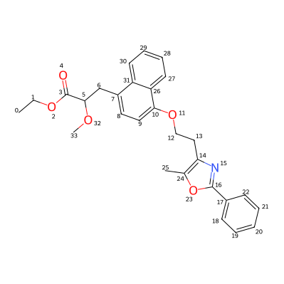 CCOC(=O)C(Cc1ccc(OCCc2nc(-c3ccccc3)oc2C)c2ccccc12)OC